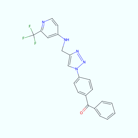 O=C(c1ccccc1)c1ccc(-n2cc(CNc3ccnc(C(F)(F)F)c3)nn2)cc1